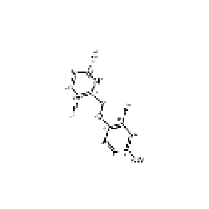 N#Cc1ccc(OCc2nc(Cl)ccc2F)c(F)c1